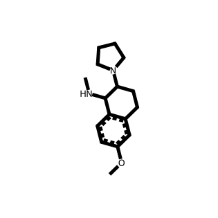 CNC1c2ccc(OC)cc2CCC1N1CCCC1